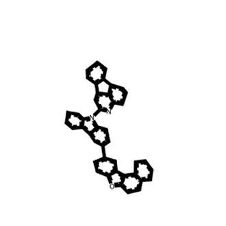 c1ccc2c(c1)-c1cccc3nc(-n4c5ccccc5c5cc(-c6ccc7oc8ccc9ccccc9c8c7c6)ccc54)cc-2c13